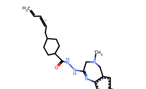 C=C/C=C\CC1CCC(C(=O)NNC2=Nc3ccc(Cl)cc3CN(C)C2)CC1